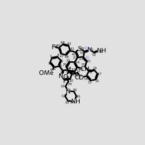 COc1ccccc1-c1nccc(COc2ccccc2C/C=C2\C(c3ccc(OCCN4CCNCC4)c(Cl)c3C)=C(c3ccc(F)cc3)S\C2=N\C=N)n1